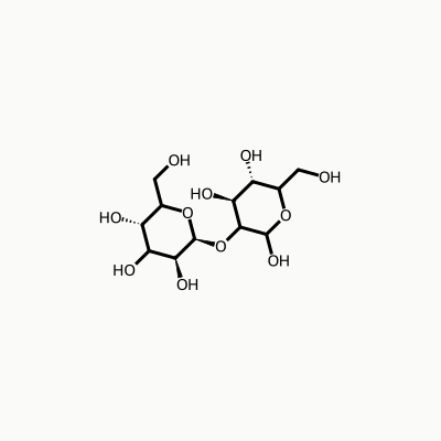 OCC1O[C@@H](OC2C(O)OC(CO)[C@@H](O)[C@@H]2O)[C@@H](O)C(O)[C@@H]1O